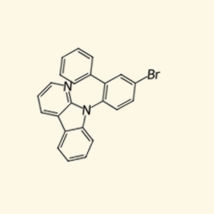 Brc1ccc(-n2c3ccccc3c3cccnc32)c(-c2ccccc2)c1